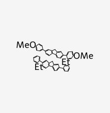 CCc1ccccc1-c1ccc2c(c1)Cc1cc(-c3ccccc3CC)ccc1-2.COc1ccc(-c2ccc3c(c2)Cc2cc(-c4ccc(OC)cc4)ccc2-3)cc1